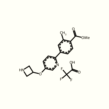 COC(=O)c1ccc(-c2ccc(OC3CNC3)cn2)cc1C.O=C(O)C(F)(F)F